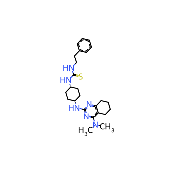 CN(C)c1nc(N[C@H]2CC[C@@H](NC(=S)NCCc3ccccc3)CC2)nc2c1CCCC2